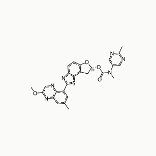 COc1cnc2c(-c3nc4ccc5c(c4s3)C[C@@H](OC(=O)N(C)c3cnc(C)nc3)O5)cc(C)cc2n1